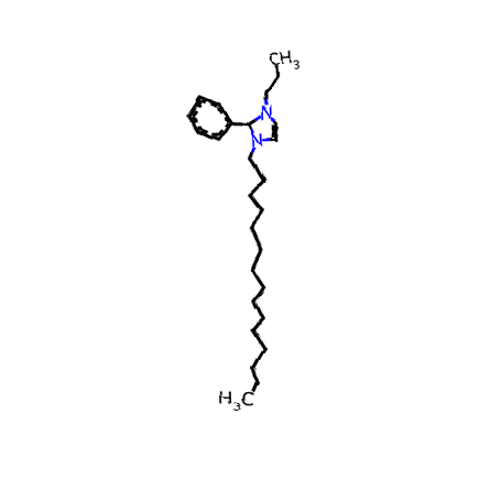 CCCCCCCCCCCCCCCN1C=CN(CCC)C1c1ccccc1